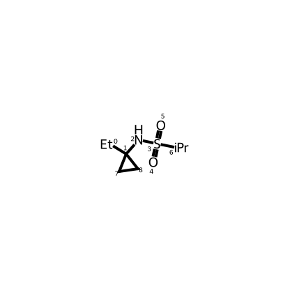 CCC1(NS(=O)(=O)C(C)C)CC1